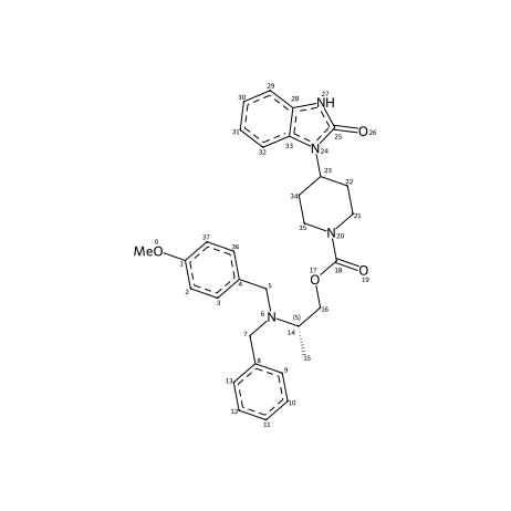 COc1ccc(CN(Cc2ccccc2)[C@@H](C)COC(=O)N2CCC(n3c(=O)[nH]c4ccccc43)CC2)cc1